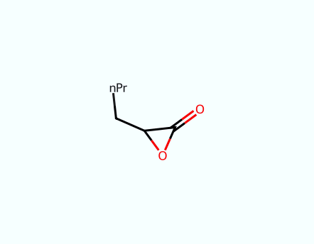 CCCCC1OC1=O